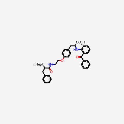 CCCCCCCC(Cc1ccccc1)C(=O)NCCOc1ccc(CC(Nc2ccccc2C(=O)c2ccccc2)C(=O)O)cc1